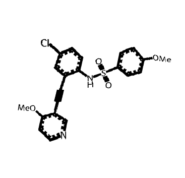 COc1ccc(S(=O)(=O)Nc2ccc(Cl)cc2C#Cc2cnccc2OC)cc1